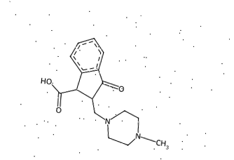 CN1CCN(CC2C(=O)c3ccccc3C2C(=O)O)CC1